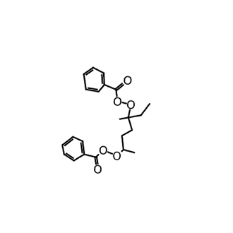 CCC(C)(CCC(C)OOC(=O)c1ccccc1)OOC(=O)c1ccccc1